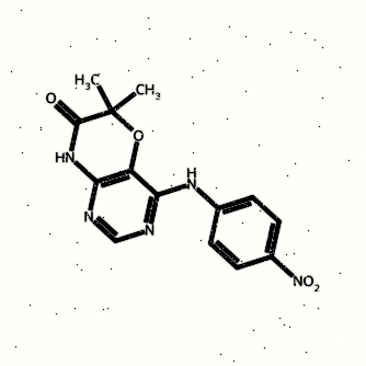 CC1(C)Oc2c(ncnc2Nc2ccc([N+](=O)[O-])cc2)NC1=O